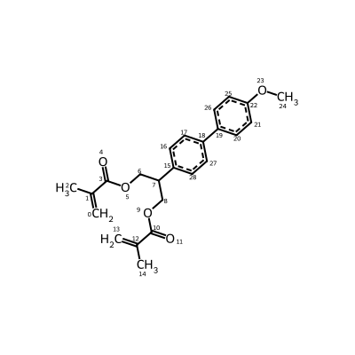 C=C(C)C(=O)OCC(COC(=O)C(=C)C)c1ccc(-c2ccc(OC)cc2)cc1